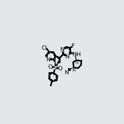 Cc1ccc(S(=O)(=O)n2cc(-c3ncc(F)c(N[C@H]4CCC[C@@H](C#N)C4)n3)c3cc(Cl)cnc32)cc1